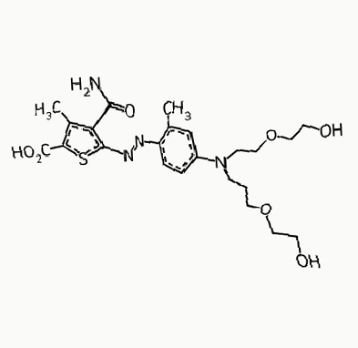 Cc1cc(N(CCCOCCO)CCOCCO)ccc1/N=N/c1sc(C(=O)O)c(C)c1C(N)=O